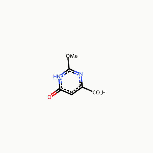 COc1nc(C(=O)O)cc(=O)[nH]1